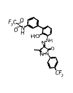 CC1=NN(c2ccc(C(F)(F)F)cc2)C(=O)C1=NNc1cccc(-c2cccc(NS(=O)(=O)C(F)(F)F)c2)c1O